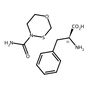 NC(=O)N1CCOCS1.N[C@@H](Cc1ccccc1)C(=O)O